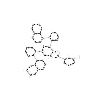 Clc1cccc(-c2nc3c(-c4ccccc4-c4cccc5ccccc45)cc(-c4ccccc4-c4cccc5ccccc45)cc3o2)c1